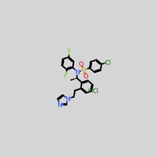 C[C@H](c1ccccc1CCn1ccnc1)N(c1cc(F)ccc1F)S(=O)(=O)c1ccc(Cl)cc1.Cl